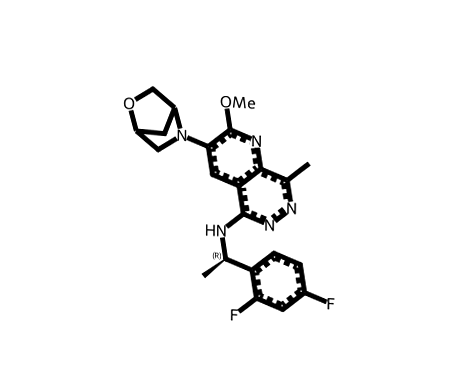 COc1nc2c(C)nnc(N[C@H](C)c3ccc(F)cc3F)c2cc1N1CC2CC1CO2